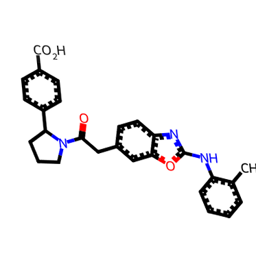 Cc1ccccc1Nc1nc2ccc(CC(=O)N3CCCC3c3ccc(C(=O)O)cc3)cc2o1